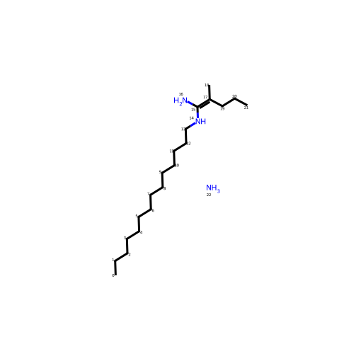 CCCCCCCCCCCCCCNC(N)=C(C)CCC.N